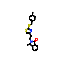 C=C1c2ccccc2C(=O)N1CCc1csc(SCc2ccc(C)cc2)n1